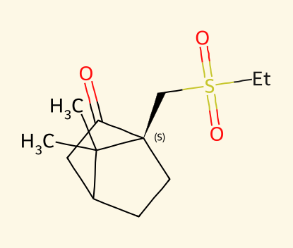 CCS(=O)(=O)C[C@]12CCC(CC1=O)C2(C)C